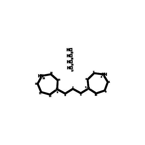 C1CNCCN(CCCN2CCCNCC2)C1.Cl.Cl.Cl.Cl